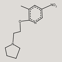 Cc1cc([N+](=O)[O-])cnc1OCCN1CCCC1